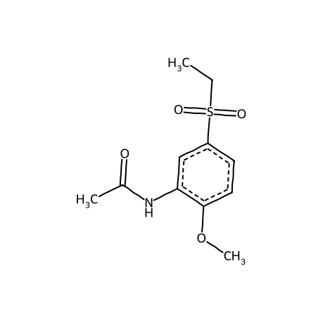 CCS(=O)(=O)c1ccc(OC)c(NC(C)=O)c1